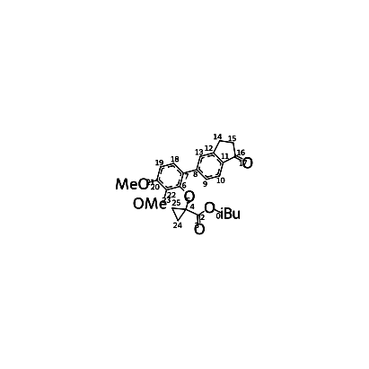 CCC(C)OC(=O)C1(Oc2c(-c3ccc4c(c3)CCC4=O)ccc(OC)c2OC)CC1